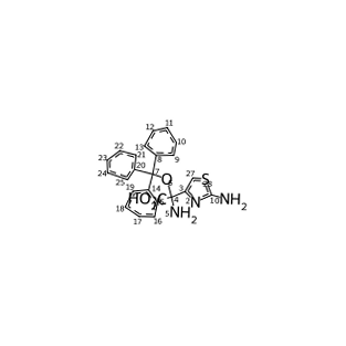 Nc1nc(C(N)(OC(c2ccccc2)(c2ccccc2)c2ccccc2)C(=O)O)cs1